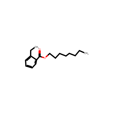 CCCCCCCCOC(=O)c1ccccc1CC